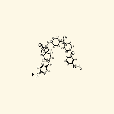 Nc1cccc(OC2CCN(C(=O)C3CCC(CN4CC5(CCN(Cc6ccc(C(F)(F)F)cc6)CC5)OC4=O)CC3)CC2)c1